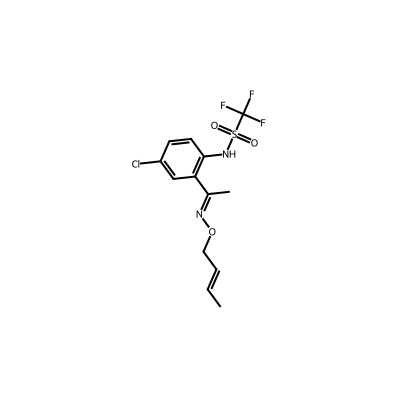 C/C=C/CO/N=C(\C)c1cc(Cl)ccc1NS(=O)(=O)C(F)(F)F